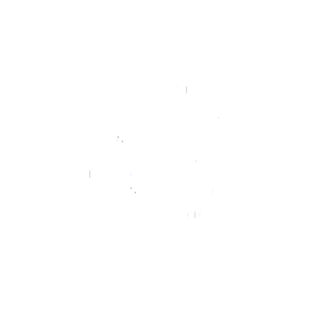 C=C1/C=N\C(Cl)=N/CC(C)(CC)OC1O